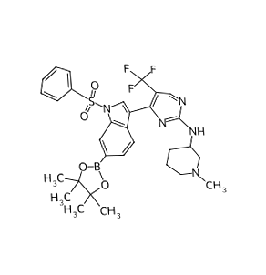 CN1CCCC(Nc2ncc(C(F)(F)F)c(-c3cn(S(=O)(=O)c4ccccc4)c4cc(B5OC(C)(C)C(C)(C)O5)ccc34)n2)C1